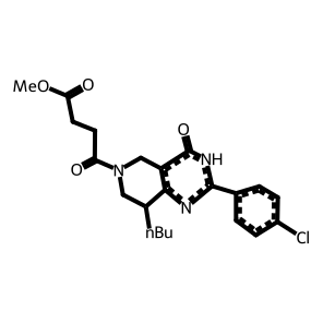 CCCCC1CN(C(=O)CCC(=O)OC)Cc2c1nc(-c1ccc(Cl)cc1)[nH]c2=O